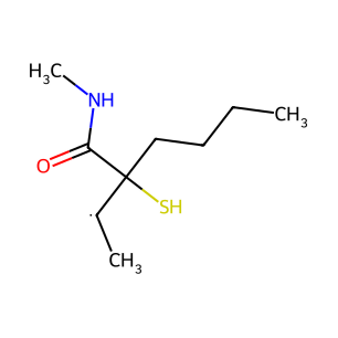 C[CH]C(S)(CCCC)C(=O)NC